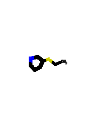 C[CH]Sc1cccnc1